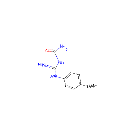 COc1ccc(NC(=N)NC(N)=O)cc1